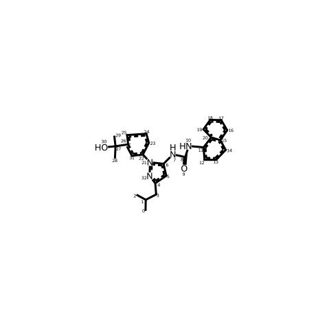 CC(C)Cc1cc(NC(=O)Nc2cccc3ccccc23)n(-c2cccc(C(C)(C)O)c2)n1